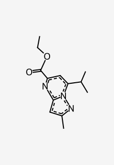 CCOC(=O)c1cc(C(C)C)n2nc(C)cc2n1